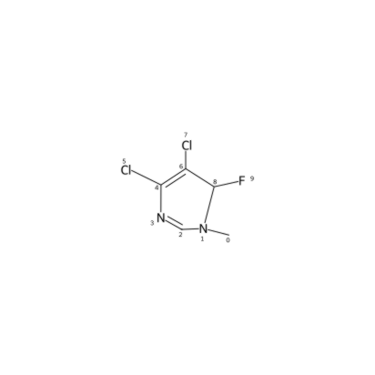 CN1C=NC(Cl)=C(Cl)C1F